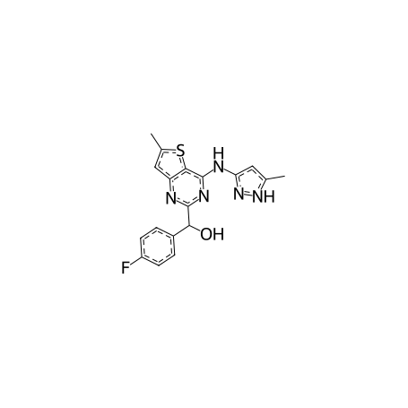 Cc1cc(Nc2nc(C(O)c3ccc(F)cc3)nc3cc(C)sc23)n[nH]1